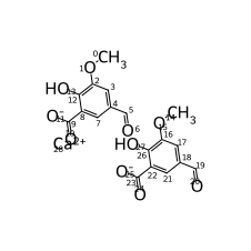 COc1cc(C=O)cc(C(=O)[O-])c1O.COc1cc(C=O)cc(C(=O)[O-])c1O.[Ca+2]